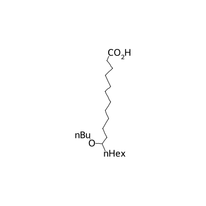 CCCCCCC(CCCCCCCCCCC(=O)O)OCCCC